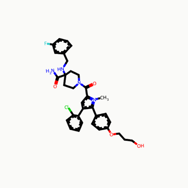 Cn1c(C(=O)N2CCC(NCc3cccc(F)c3)(C(N)=O)CC2)cc(-c2ccccc2Cl)c1-c1ccc(OCCCO)cc1